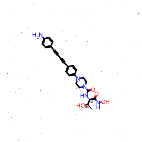 C[C@@H](O)[C@H](NC(=O)N1CCN(c2ccc(C#CC#Cc3ccc(N)cc3)cc2)CC1)C(=O)NO